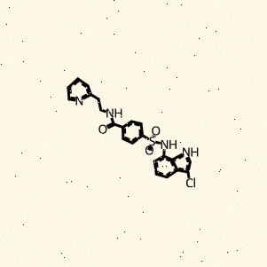 O=C(NCCc1ccccn1)c1ccc(S(=O)(=O)Nc2cccc3c(Cl)c[nH]c23)cc1